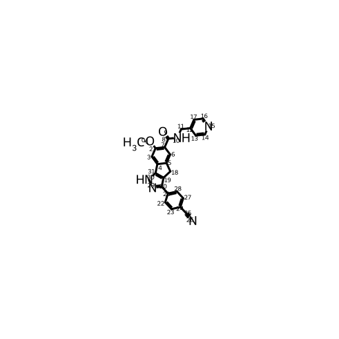 COc1cc2c(cc1C(=O)NCc1ccncc1)Cc1c(-c3ccc(C#N)cc3)n[nH]c1-2